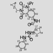 CC(C)n1c(=O)n(CC2CC2)c(=O)c2cc(NC(=O)[C@@H]3CCC[C@H]3NC(=O)Nc3ccccc3)ccc21